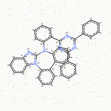 c1ccc(-c2nc(-c3ccccc3)nc(-c3ccccc3N3c4ccccc4-c4ccccc4-n4c3nc3ccccc34)n2)cc1